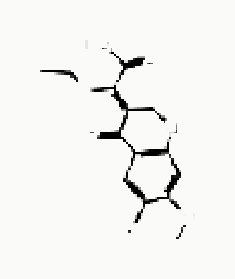 CCOC(C(=O)O)=C1COc2cc(OC)c(Br)cc2C1=O